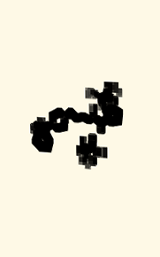 CC(C)[C@@H](Nc1ccccc1C(=O)NCCCCN1CCN(c2nsc3ccccc23)CC1)C(N)=O.O.O=C(O)C(F)(F)F